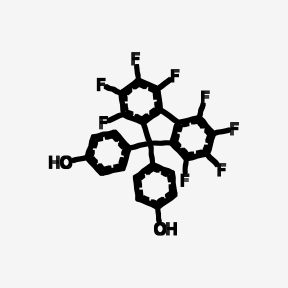 Oc1ccc(C2(c3ccc(O)cc3)c3c(F)c(F)c(F)c(F)c3-c3c(F)c(F)c(F)c(F)c32)cc1